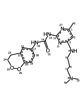 Cc1cc(NCCCN(C)C)nc(NC(=O)Nc2ccc3c(c2)CCOO3)n1